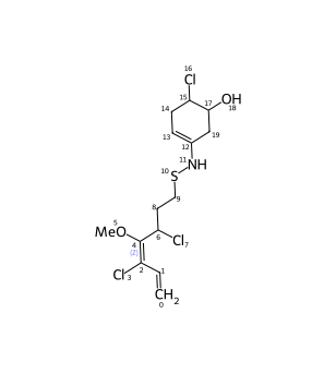 C=C/C(Cl)=C(/OC)C(Cl)CCSNC1=CCC(Cl)C(O)C1